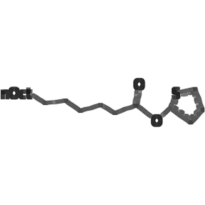 CCCCCCCCCCCCCC(=O)Oc1cccs1